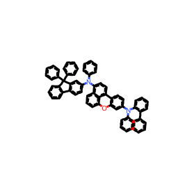 c1ccc(-c2ccccc2N(c2ccccc2)c2ccc3c(c2)Oc2cccc4c(N(c5ccccc5)c5ccc6c(c5)C(c5ccccc5)(c5ccccc5)c5ccccc5-6)ccc-3c24)cc1